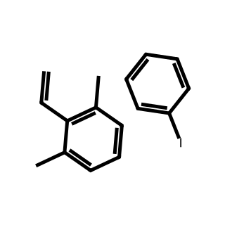 C=Cc1c(C)cccc1C.Ic1ccccc1